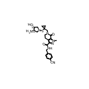 Cn1nc(C(=O)NCc2ccc(C#N)cc2)c2c1C(=O)N(CC1(SN3C[C@@H](N)[C@H](O)C3)CC1)CC2